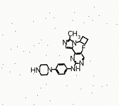 Cc1ncc(-c2nc(Nc3ccc(N4CCNCC4)cc3)ncc2F)n1C1CCC1